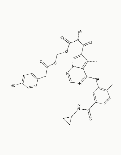 CCCN(C(=O)OCOC(=O)Cc1ccc(O)cc1)C(=O)c1cn2ncnc(Nc3cc(C(=O)NC4CC4)ccc3C)c2c1C